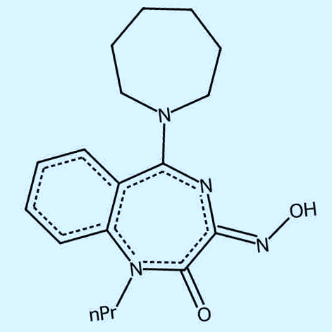 CCCn1c(=O)c(=NO)nc(N2CCCCCC2)c2ccccc21